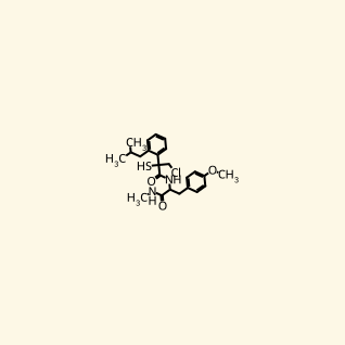 CNC(=O)C(Cc1ccc(OC)cc1)NC(=O)C(S)(CCl)c1ccccc1CC(C)C